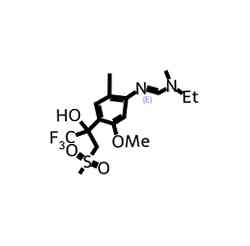 CCN(C)/C=N/c1cc(OC)c(C(O)(CS(C)(=O)=O)C(F)(F)F)cc1C